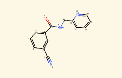 N#Cc1cccc(C(=O)NCc2ccccn2)c1